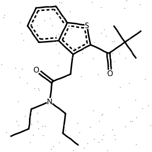 CCCN(CCC)C(=O)Cc1c(C(=O)C(C)(C)C)sc2ccccc12